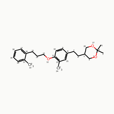 CC1(C)OCC(CCc2ccc(OCCCc3ccccc3C(F)(F)F)c(C(F)(F)F)c2)CO1